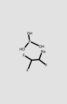 FC(F)[CH](F)[Na].OP(O)O